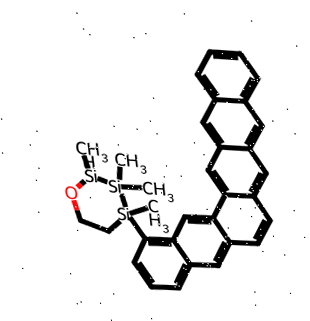 C[SiH]1OCC[Si](C)(c2cccc3cc4ccc5cc6cc7ccccc7cc6cc5c4cc23)[Si]1(C)C